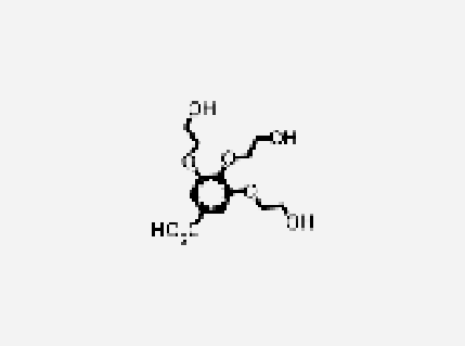 O=C(O)c1cc(OCCO)c(OCCO)c(OCCO)c1